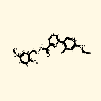 CCOc1cc(C)c(-c2cncc(C(=O)NOCc3cc(OC)ccc3F)n2)cn1